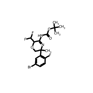 CC(C)(C)OC(=O)NC1=NC(C)(c2cc(Br)ccc2F)COC1C(F)F